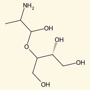 CC(N)C(O)OC(CO)[C@H](O)CO